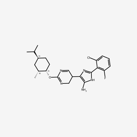 CC(C)[C@H]1CC[C@H](OC2=NCC(c3nc(-c4c(F)cccc4Cl)[nH]c3N)C=N2)[C@H](C)C1